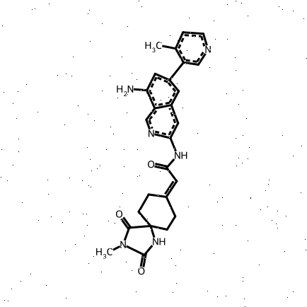 Cc1ccncc1-c1cc(N)c2cnc(NC(=O)C=C3CCC4(CC3)NC(=O)N(C)C4=O)cc2c1